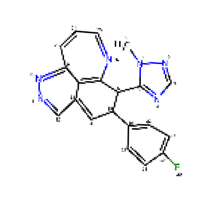 Cn1ncnc1C1C2=c3c(nncc3=CC1c1ccc(F)cc1)C=CC=N2